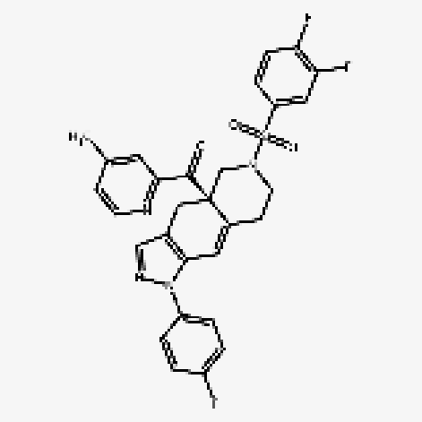 Cc1ccnc(C(=O)[C@]23Cc4cnn(-c5ccc(F)cc5)c4C=C2CCN(S(=O)(=O)c2ccc(F)c(F)c2)C3)c1